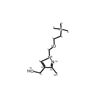 CS(C)(C)CCOCn1cc(CO)c(I)n1